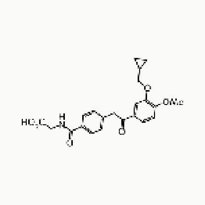 COc1ccc(C(=O)Cc2ccc(C(=O)NCC(=O)O)cc2)cc1OCC1CC1